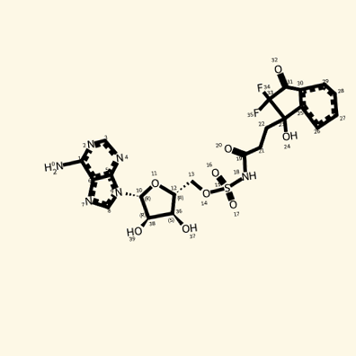 Nc1ncnc2c1ncn2[C@@H]1O[C@H](COS(=O)(=O)NC(=O)CCC2(O)c3ccccc3C(=O)C2(F)F)[C@@H](O)[C@H]1O